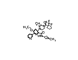 CCOc1cc(N2CCN(C(=O)C3(C(F)(F)F)CCCC3)C[C@H]2CC)c(C(=O)NC2CN(C)C2)nc1-c1cccnc1